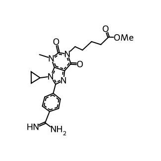 COC(=O)CCCCn1c(=O)c2nc(-c3ccc(C(=N)N)cc3)n(C3CC3)c2n(C)c1=O